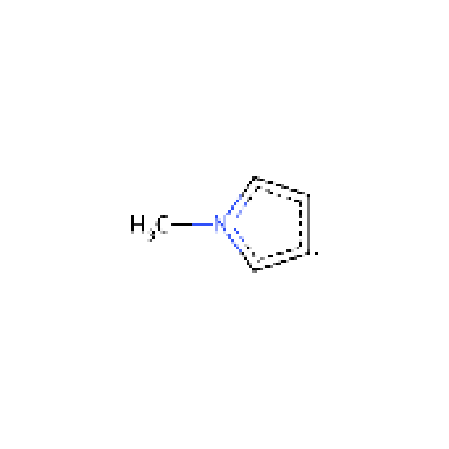 Cn1c[c]cc1